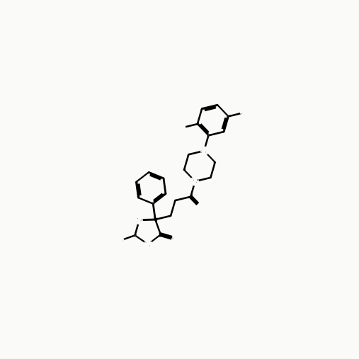 Cc1ccc(Cl)cc1N1CCN(C(=O)CCC2(c3ccccc3)NC(O)NC2=O)CC1